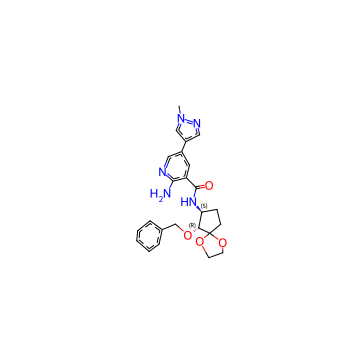 Cn1cc(-c2cnc(N)c(C(=O)N[C@H]3CCC4(OCCO4)[C@@H]3OCc3ccccc3)c2)cn1